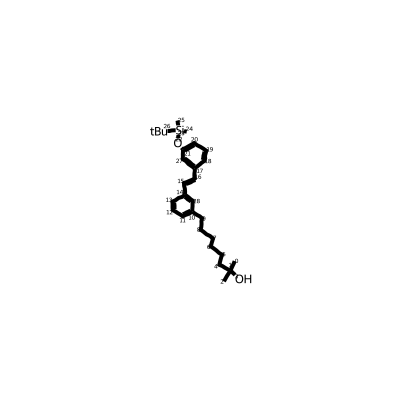 CC(C)(O)CCCCCCc1cccc(C=Cc2cccc(O[Si](C)(C)C(C)(C)C)c2)c1